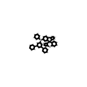 c1ccc(-c2cc(-c3ccccc3)cc(N(c3ccccc3)c3ccc4c(c3)C3(c5ccccc5Oc5ccccc53)c3ccccc3-4)c2)cc1